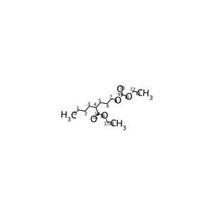 CCCCC(CCCOC(=O)OCC)C(=O)OCC